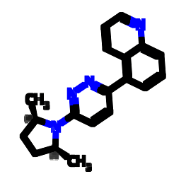 C[C@@H]1CC[C@H](C)N1c1ccc(-c2cccc3ncccc23)nn1